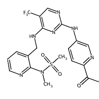 CN(c1ncccc1CNc1nc(Nc2ccc(C(N)=O)nc2)ncc1C(F)(F)F)S(C)(=O)=O